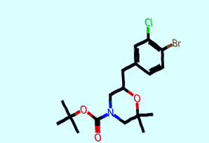 CC(C)(C)OC(=O)N1CC(Cc2ccc(Br)c(Cl)c2)OC(C)(C)C1